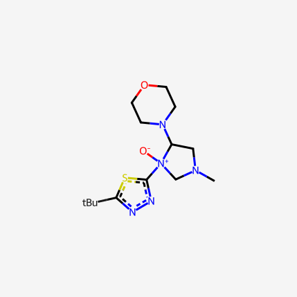 CN1CC(N2CCOCC2)[N+]([O-])(c2nnc(C(C)(C)C)s2)C1